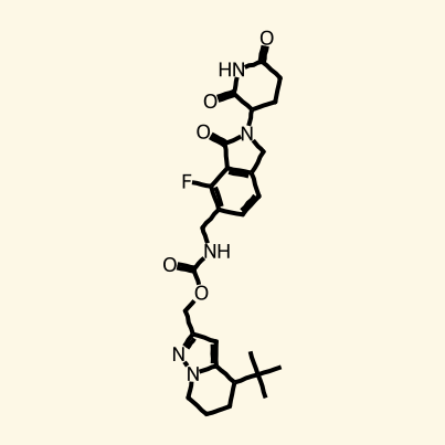 CC(C)(C)C1CCCn2nc(COC(=O)NCc3ccc4c(c3F)C(=O)N(C3CCC(=O)NC3=O)C4)cc21